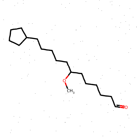 COC(CCCCCC=O)CCCCCC1CCCC1